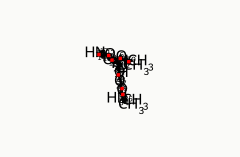 CC(C)CNC(=O)C1CC(OC(=O)C2CCNC2)CN1C(=O)COCCOCCOCCNC(C)C